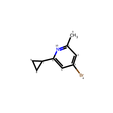 Cc1cc(Br)cc(C2CC2)n1